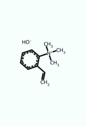 C=Cc1ccccc1[N+](C)(C)C.[OH-]